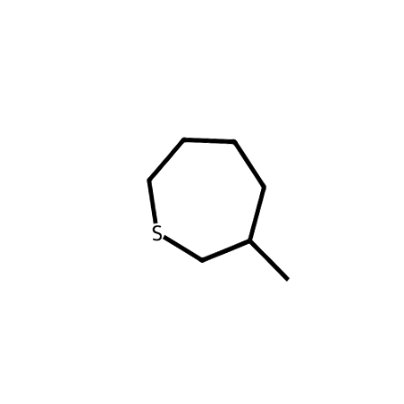 CC1CCCCSC1